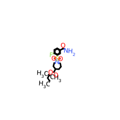 CCCC(C)(C)OC(=O)C1CCCN(S(=O)(=O)c2cc(C(N)=O)ccc2F)CC1